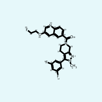 Cn1nc2c(c1-c1cc(F)cc(F)c1)CCN(C(=O)c1ccc3ncc(OCCF)cc3c1)C2